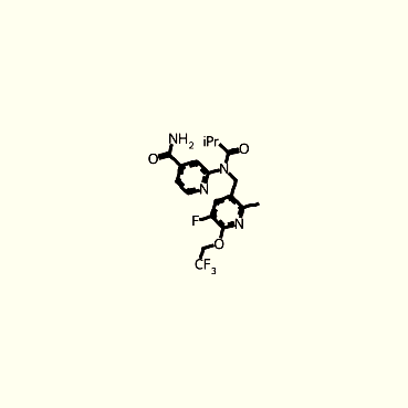 Cc1nc(OCC(F)(F)F)c(F)cc1CN(C(=O)C(C)C)c1cc(C(N)=O)ccn1